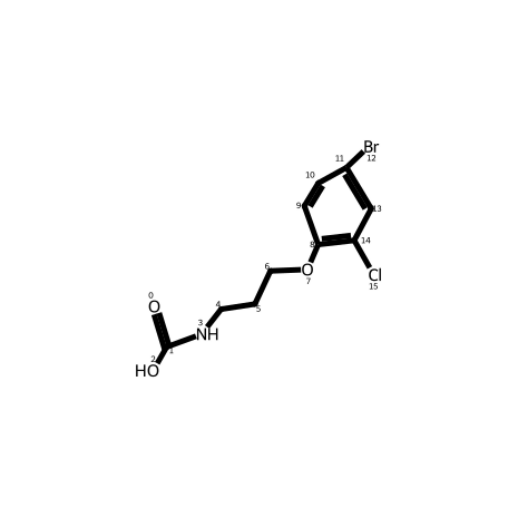 O=C(O)NCCCOc1ccc(Br)cc1Cl